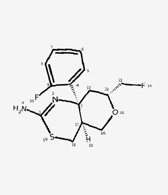 NC1=N[C@@]2(c3ccccc3F)C[C@H](CF)OC[C@H]2CS1